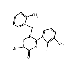 Cc1ccccc1Cn1cc(Br)c(=O)nc1-c1cccc(C(F)(F)F)c1Cl